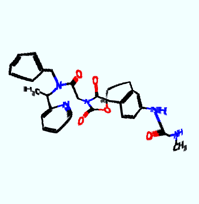 CNC(=O)Nc1ccc2c(c1)CC[C@@]21OC(=O)N(CC(=O)N(Cc2ccccc2)C(C)c2ccccn2)C1=O